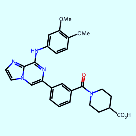 COc1ccc(Nc2nc(-c3cccc(C(=O)N4CCC(C(=O)O)CC4)c3)cn3ccnc23)cc1OC